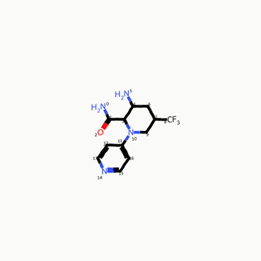 NC(=O)C1C(N)CC(C(F)(F)F)CN1c1[c]cncc1